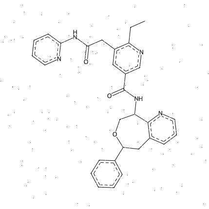 CCc1ncc(C(=O)NC2COC(c3ccccc3)Cc3cccnc32)cc1CC(=O)Nc1ccccn1